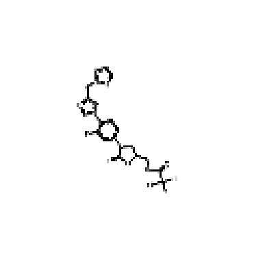 CC(Cl)(Cl)C(=O)NCC1CN(c2ccc(-n3cnc(Cn4cccn4)c3)c(F)c2)C(=O)O1